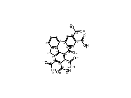 O=C(O)c1ccc(-c2cccc3c2-c2c(c(C(=O)O)c(C(=O)O)c(C(=O)O)c2C(=O)O)C3)cc1C(=O)O